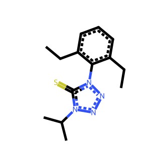 CCc1cccc(CC)c1-n1nnn(C(C)C)c1=S